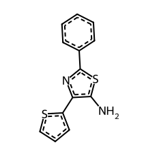 Nc1sc(-c2ccccc2)nc1-c1cccs1